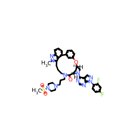 Cn1nc2cccc3c2c1CCCN(CCCN1CCN(S(C)(=O)=O)CC1)C(=O)[C@@H]1C[C@@H](CN1c1ncnc2c1cnn2-c1ccc(F)cc1F)Oc1cccc-3c1